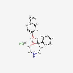 COc1ccc(OCC2(c3ccccc3)CCNCCO2)cc1.Cl